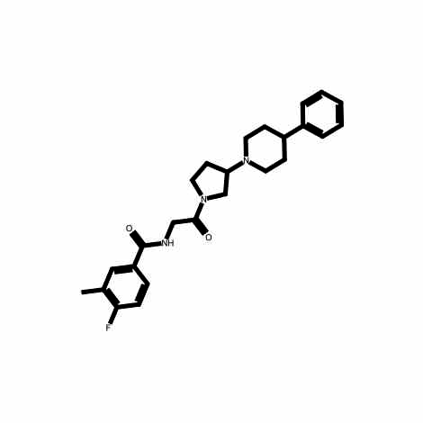 Cc1cc(C(=O)NCC(=O)N2CCC(N3CCC(c4ccccc4)CC3)C2)ccc1F